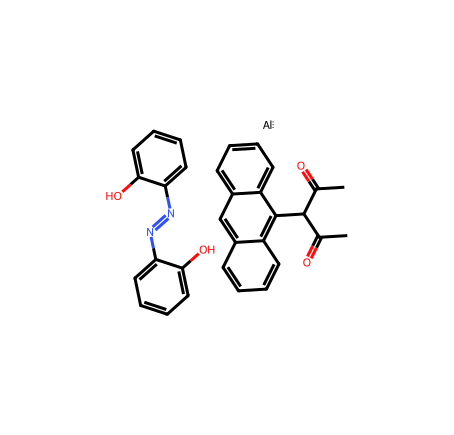 CC(=O)C(C(C)=O)c1c2ccccc2cc2ccccc12.Oc1ccccc1N=Nc1ccccc1O.[Al]